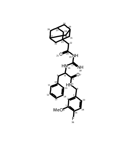 COc1cc(CNC(=O)C(Cc2ccccc2)NC(=N)NC(=O)CC23CC4CC(CC(C4)C2)C3)ccc1F